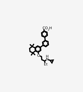 CCC(CCOc1cc(-c2cccc(-c3ccc(C(=O)O)cc3)c2)cc2c1C(C)(C)CCC2(C)C)NC1CC1